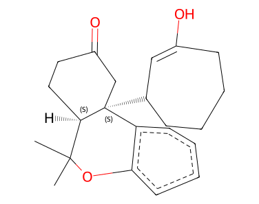 CC1(C)Oc2ccccc2[C@]2(C3C=C(O)CCCC3)CC(=O)CC[C@H]12